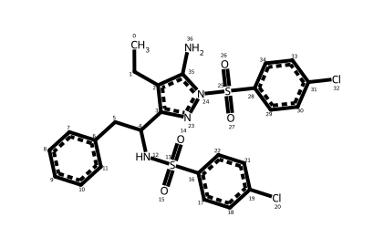 CCc1c(C(Cc2ccccc2)NS(=O)(=O)c2ccc(Cl)cc2)nn(S(=O)(=O)c2ccc(Cl)cc2)c1N